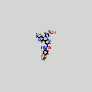 CCc1ccc(-c2cc(C(=O)Nc3ccc(OC(F)(F)F)cc3)cnc2N2CC[C@H](CO)C2)cn1